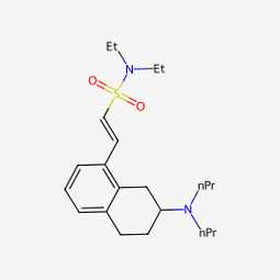 CCCN(CCC)C1CCc2cccc(/C=C/S(=O)(=O)N(CC)CC)c2C1